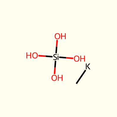 O[Si](O)(O)O.[CH3][K]